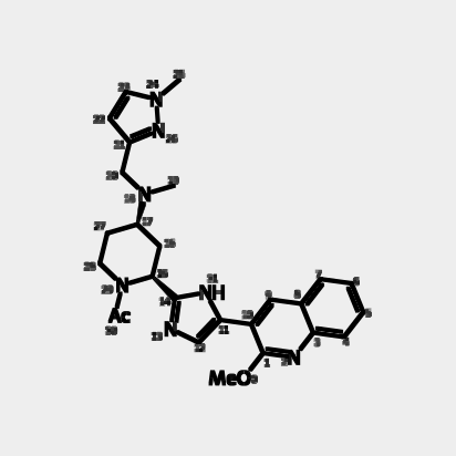 COc1nc2ccccc2cc1-c1cnc([C@@H]2C[C@H](N(C)Cc3ccn(C)n3)CCN2C(C)=O)[nH]1